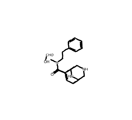 CN(CCc1ccccc1)C(=O)C1=CCC2CNCC1N2.O=CO